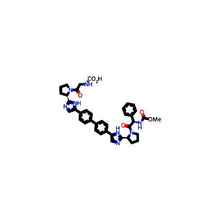 COC(=O)N[C@@H](C(=O)N1CCC[C@H]1c1ncc(-c2ccc(-c3ccc(-c4cnc([C@@H]5CCCN5C(=O)CNC(=O)O)[nH]4)cc3)cc2)[nH]1)c1ccccc1